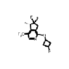 C[C@H]1c2c(C(F)(F)F)cnc(OC3CC(F)C3)c2CC1(F)F